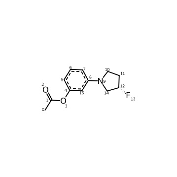 CC(=O)Oc1cccc(N2CC[C@H](F)C2)c1